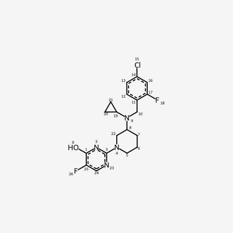 Oc1nc(N2CCCC(N(Cc3ccc(Cl)cc3F)C3CC3)C2)ncc1F